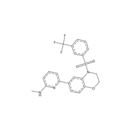 CNc1cccc(-c2ccc3c(c2)N(S(=O)(=O)c2cccc(C(F)(F)F)c2)CCO3)n1